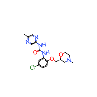 Cc1cnc(NC(=O)Nc2cc(Cl)ccc2OC[C@@H]2CN(C)CCO2)cn1